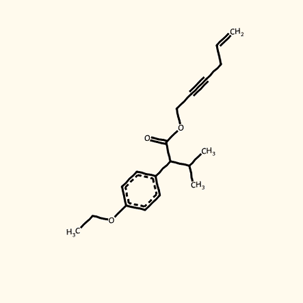 C=CCC#CCOC(=O)C(c1ccc(OCC)cc1)C(C)C